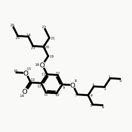 CCCCC(CC)COc1ccc(C(=O)OC)c(OCC(CC)CCCC)c1